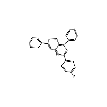 Fc1ccc(-c2cc(-c3ccccc3)c3ccc(-c4ccccc4)cc3n2)cc1